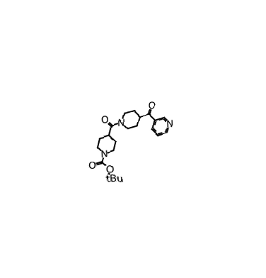 CC(C)(C)OC(=O)N1CCC(C(=O)N2CCC(C(=O)c3cccnc3)CC2)CC1